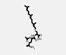 C=C(N)CCC(NC(C)=O)C(=O)NC(CSC/C=C(\C)CC/C=C(\C)CCC=C(C)C)C(=O)O